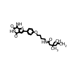 C=CCC(C)(CC)CC(=O)NCCCCOc1ccc(-c2cc3c(s2)C(=N)C(=O)NC3=O)cc1